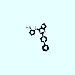 N[C@H]1CCC[C@@H]1Nc1nc(N2CCN(c3ccccc3)CC2)nc2c1SCC2